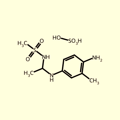 Cc1cc(NC(C)NS(C)(=O)=O)ccc1N.O=S(=O)(O)O